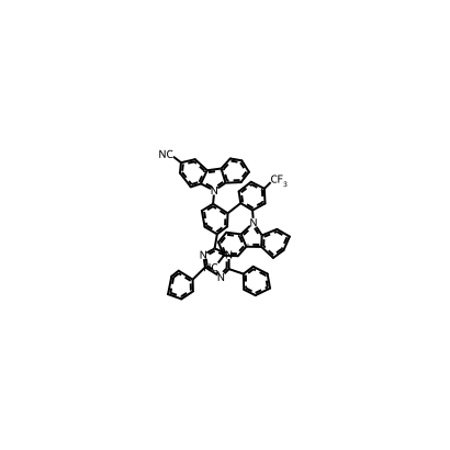 N#Cc1ccc2c(c1)c1ccccc1n2-c1ccc(-c2nc(-c3ccccc3)nc(-c3ccccc3)n2)cc1-c1ccc(C(F)(F)F)cc1-n1c2ccccc2c2cc(C#N)ccc21